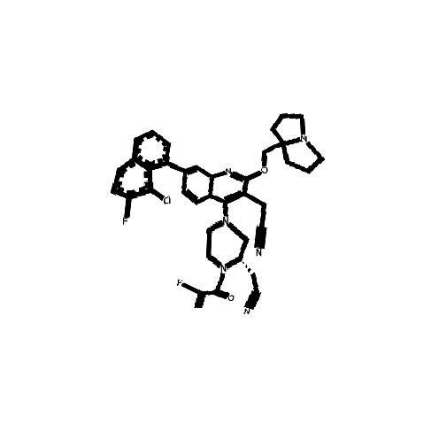 C=C(F)C(=O)N1CCN(C2=C(CC#N)C(OCC34CCCN3CCC4)=NC3C=C(c4cccc5ccc(F)c(Cl)c45)C=CC23)C[C@@H]1CC#N